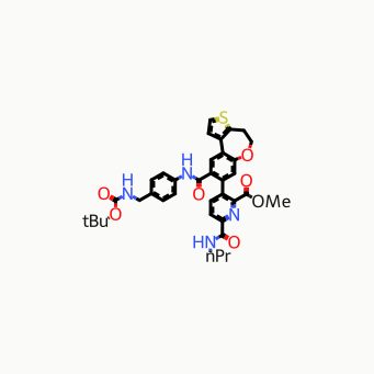 CCCNC(=O)c1ccc(-c2cc3c(cc2C(=O)Nc2ccc(CNC(=O)OC(C)(C)C)cc2)-c2ccsc2CCO3)c(C(=O)OC)n1